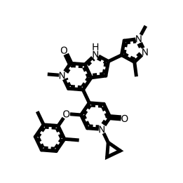 Cc1cccc(C)c1Oc1cn(C2CC2)c(=O)cc1-c1cn(C)c(=O)c2[nH]c(-c3cn(C)nc3C)cc12